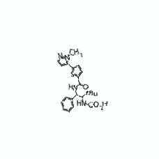 Cn1nccc1-c1ccc(C(=O)NC(c2ccccc2)C(NC(=O)O)C(C)(C)C)s1